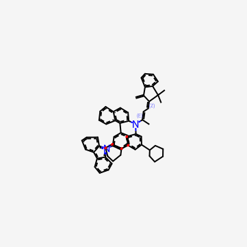 C=C1/C(=C\C=C(/C)N(c2cc(C3CCCCC3)cc(C3CCCCC3)c2)c2ccc3ccccc3c2-c2cccc(-n3c4ccccc4c4ccccc43)c2)C(C)(C)c2ccccc21